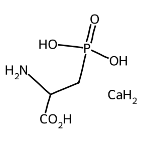 NC(CP(=O)(O)O)C(=O)O.[CaH2]